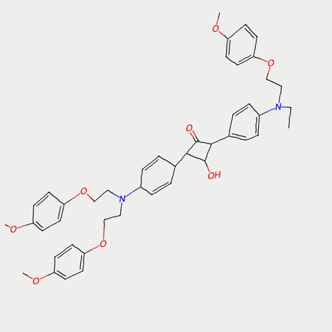 CCN(CCOc1ccc(OC)cc1)c1ccc(C2C(=O)C(C3C=CC(N(CCOc4ccc(OC)cc4)CCOc4ccc(OC)cc4)C=C3)C2O)cc1